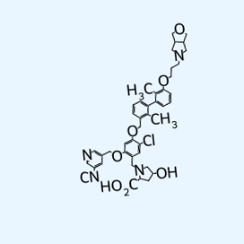 Cc1c(COc2cc(OCc3cncc(C#N)c3)c(CN3C[C@@H](O)C[C@H]3C(=O)O)cc2Cl)cccc1-c1cccc(OCCCN2CC3COCC3C2)c1C